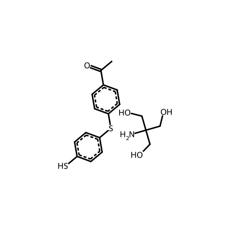 CC(=O)c1ccc(Sc2ccc(S)cc2)cc1.NC(CO)(CO)CO